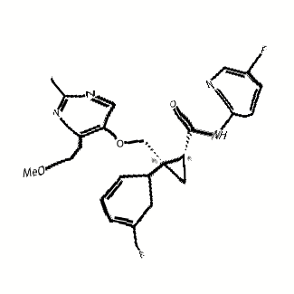 COCc1nc(C)ncc1OC[C@@]1(C2C=CC=C(F)C2)C[C@H]1C(=O)Nc1ccc(F)cn1